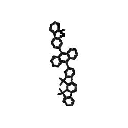 CC1(C)c2ccccc2-c2ccc3c(c21)C(C)(C)c1cc(-c2c4ccccc4c(-c4ccc5c(c4)sc4ccccc45)c4ccccc24)ccc1-3